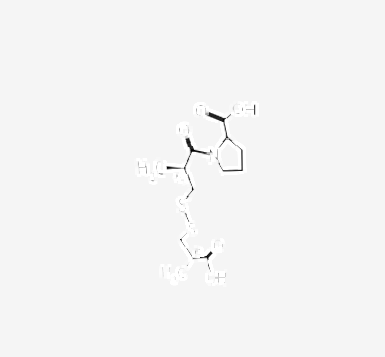 C[C@H](CSSC[C@H](C)C(=O)O)C(=O)N1CCCC1C(=O)O